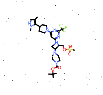 Cc1cnn(C)c1C1CCN(c2cc(N3CC(N4CCN(C(=O)OC(C)(C)C)CC4)C3COS(C)(=O)=O)nc(C(F)(F)F)n2)CC1